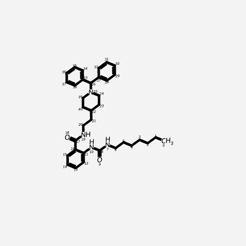 CCCCCCCNC(=O)Nc1ccccc1C(=O)NCCC1CCN(C(c2ccccc2)c2ccccc2)CC1